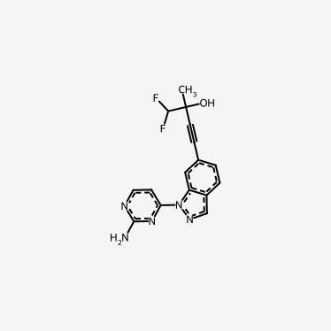 CC(O)(C#Cc1ccc2cnn(-c3ccnc(N)n3)c2c1)C(F)F